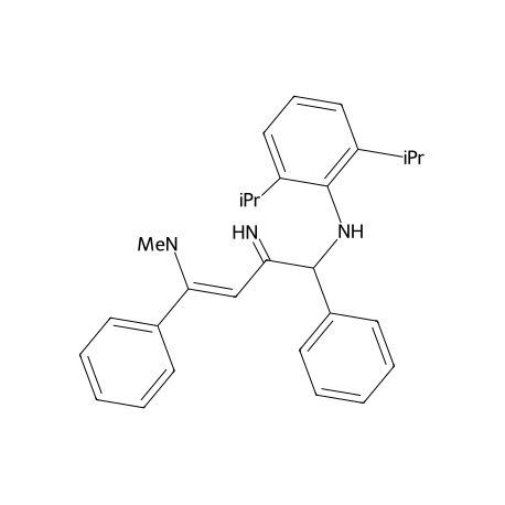 CN/C(=C\C(=N)C(Nc1c(C(C)C)cccc1C(C)C)c1ccccc1)c1ccccc1